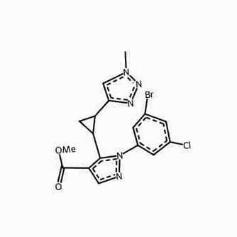 COC(=O)c1cnn(-c2cc(Cl)cc(Br)c2)c1C1CC1c1cn(C)nn1